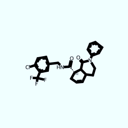 O=C(NCc1ccc(Cl)c(C(F)(F)F)c1)[C@H]1CC=CC2CCN(c3ccccc3)C(=O)C21